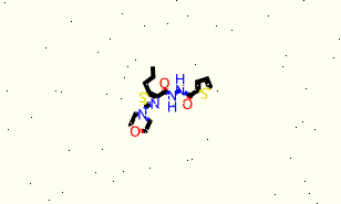 CCCc1sc(N2CCOCC2)nc1C(=O)NNC(=O)c1cccs1